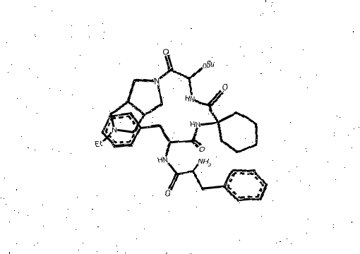 CCCCC(NC(=O)C1(NC(=O)C(Cc2ccccc2)NC(=O)C(N)Cc2ccccc2)CCCCC1)C(=O)N1CC2CN(CC)CC2C1